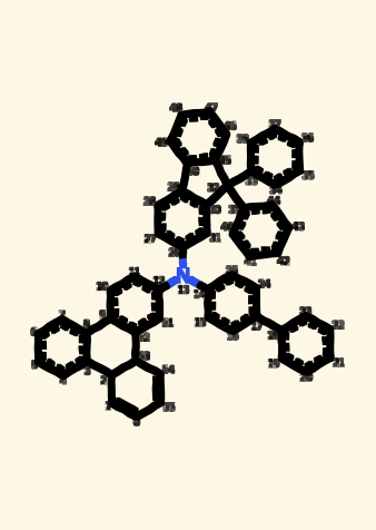 C1=CC2c3ccccc3-c3ccc(N(c4ccc(-c5ccccc5)cc4)c4ccc5c(c4)C(c4ccccc4)(c4ccccc4)c4ccccc4-5)cc3C2C=C1